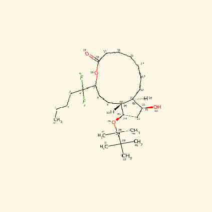 CCCCC(F)(F)C1CC[C@@H]2[C@@H](CCCCCCC(=O)O1)[C@@H](O)C[C@H]2O[Si](C)(C)C(C)(C)C